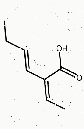 CC=C(C=CCC)C(=O)O